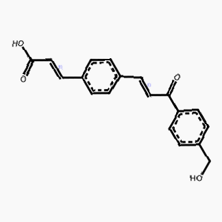 O=C(O)/C=C/c1ccc(/C=C/C(=O)c2ccc(CO)cc2)cc1